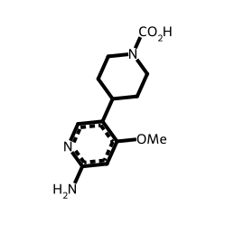 COc1cc(N)ncc1C1CCN(C(=O)O)CC1